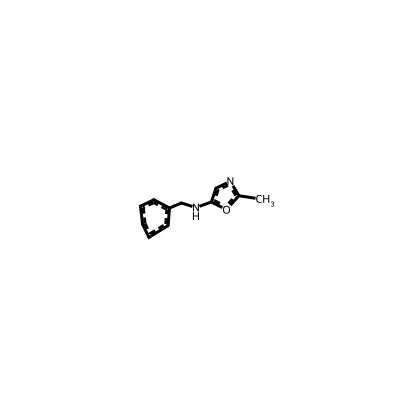 Cc1ncc(NCc2ccccc2)o1